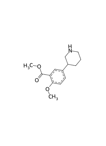 COC(=O)c1cc(C2CCCNC2)ccc1OC